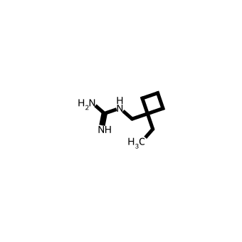 CCC1(CNC(=N)N)CCC1